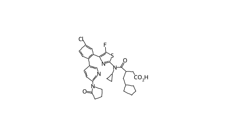 O=C(O)CC(CC1CCCC1)C(=O)N(c1nc(-c2cc(Cl)ccc2-c2ccc(N3CCCC3=O)nc2)c(F)s1)C1CC1